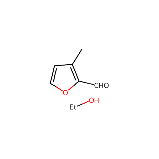 CCO.Cc1ccoc1C=O